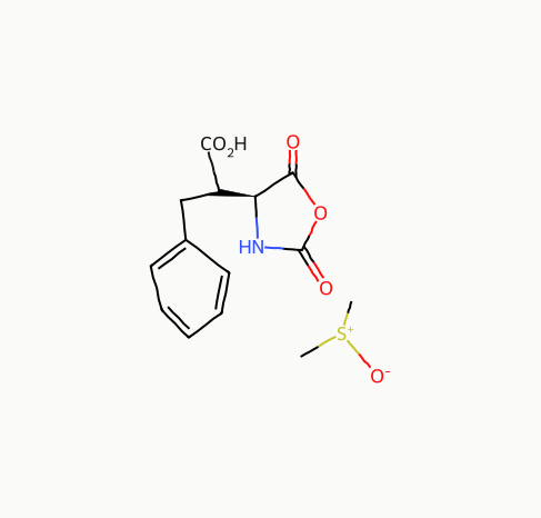 C[S+](C)[O-].O=C1N[C@@H](C(Cc2ccccc2)C(=O)O)C(=O)O1